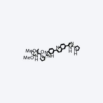 COC(=O)N[C@H](C(=O)N1CCC[C@H]1c1nc2ccc(-c3ccc4cc(-c5cnc([C@@H]6CCCN6)[nH]5)ccc4n3)cc2[nH]1)[C@@H](C)OC